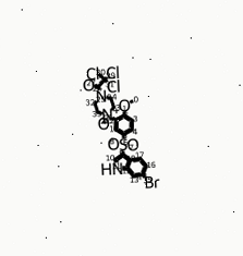 COc1ccc(S(=O)(=O)c2c[nH]c3cc(Br)ccc23)cc1[N+]1([O-])CCN(C(=O)C(Cl)(Cl)Cl)CC1